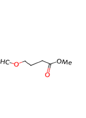 COC(=O)CCCOC=O